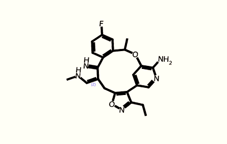 CCc1noc2c1-c1cnc(N)c(c1)OC(C)c1cc(F)ccc1C(=N)/C(=C\NC)C2